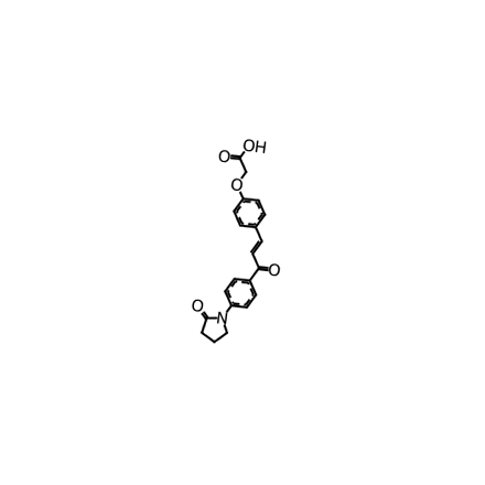 O=C(O)COc1ccc(/C=C/C(=O)c2ccc(N3CCCC3=O)cc2)cc1